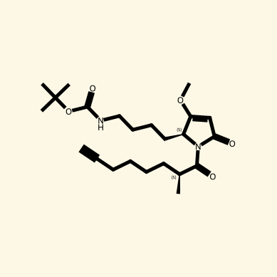 C#CCCCC[C@H](C)C(=O)N1C(=O)C=C(OC)[C@@H]1CCCCNC(=O)OC(C)(C)C